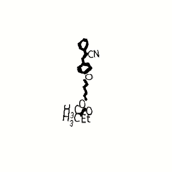 CCC(C)(C)C(=O)OCCCCCCOc1ccc(/C=C(\C#N)c2ccccc2)cc1